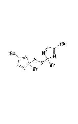 CC(C)C1(SSC2(C(C)C)N=CC(C(C)(C)C)=N2)N=CC(C(C)(C)C)=N1